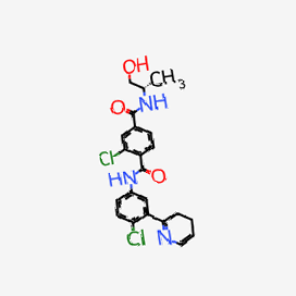 C[C@@H](CO)NC(=O)c1ccc(C(=O)Nc2ccc(Cl)c(C3=NC=CCC3)c2)c(Cl)c1